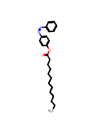 CCCCCCCCCCCCC(=O)Oc1ccc(/N=N\c2ccccc2)cc1